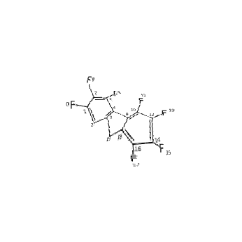 Fc1[c]c2c(c(F)c1F)-c1c(F)c(F)c(F)c(F)c1C2